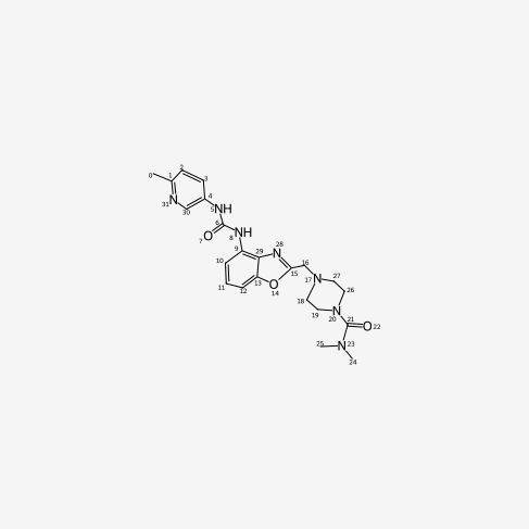 Cc1ccc(NC(=O)Nc2cccc3oc(CN4CCN(C(=O)N(C)C)CC4)nc23)cn1